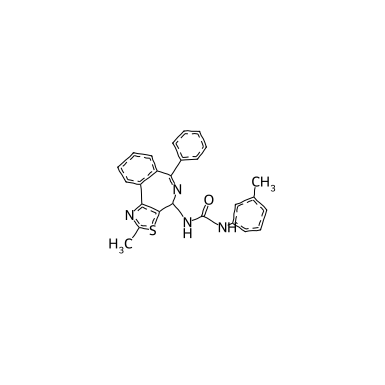 Cc1cccc(NC(=O)NC2N=C(c3ccccc3)c3ccccc3-c3nc(C)sc32)c1